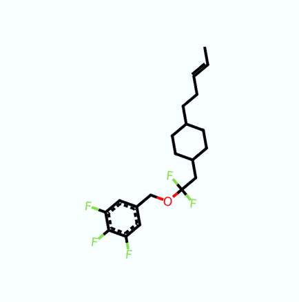 CC=CCCC1CCC(CC(F)(F)OCc2cc(F)c(F)c(F)c2)CC1